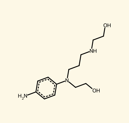 Nc1ccc(N(CCO)CCCNCCO)cc1